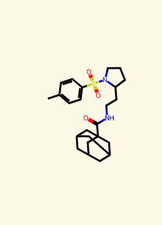 Cc1ccc(S(=O)(=O)N2CCCC2CCNC(=O)C23CC4CC(CC(C4)C2)C3)cc1